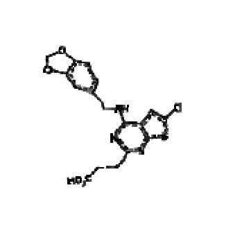 O=C(O)CCc1nc(NCc2ccc3c(c2)OCO3)c2cc(Cl)sc2n1